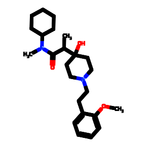 COc1ccccc1CCN1CCC(O)(C(C)C(=O)N(C)C2CCCCC2)CC1